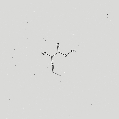 CC=C=C(O)C(=O)OO